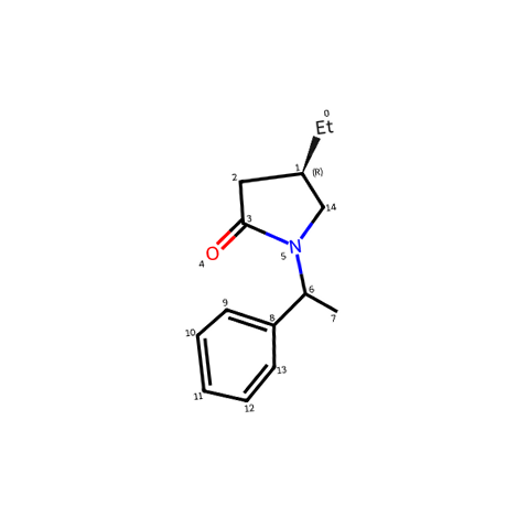 CC[C@@H]1CC(=O)N(C(C)c2ccccc2)C1